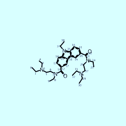 CCN(CC)CCN(CC)C(=O)c1ccc2c(c1)c1cc(C(=O)N(CC)CCN(CC)CC)ccc1n2CC